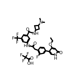 CCOc1cc(=O)[nH]cc1-c1ccc(CC(=O)Nc2cc(C(=O)NC3CC(N(C)C)C3)cc(C(F)(F)F)c2)c(F)c1.O=C(O)C(F)(F)F